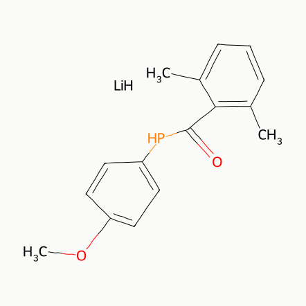 COc1ccc(PC(=O)c2c(C)cccc2C)cc1.[LiH]